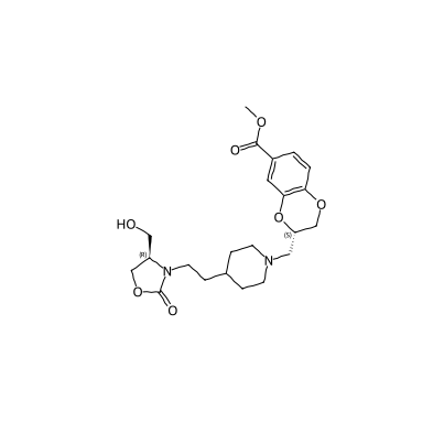 COC(=O)c1ccc2c(c1)O[C@@H](CN1CCC(CCN3C(=O)OC[C@H]3CO)CC1)CO2